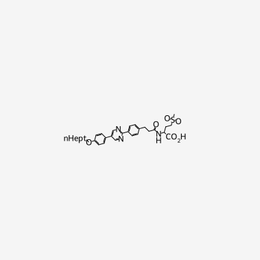 CCCCCCCOc1ccc(-c2cnc(-c3ccc(CCC(=O)NC(CCS(C)(=O)=O)C(=O)O)cc3)nc2)cc1